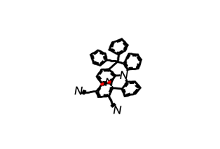 N#Cc1cnc(-c2ccccc2N2c3ccccc3C(c3ccccc3)(c3ccccc3)c3ccccc32)c(C#N)c1